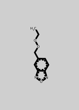 CCOOCc1ccc2nonc2c1